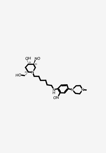 CN1CCN(c2ccc(NCCCCCCN3C[C@H](N=O)[C@@H](O)C[C@H]3CO)c(N=O)c2)CC1